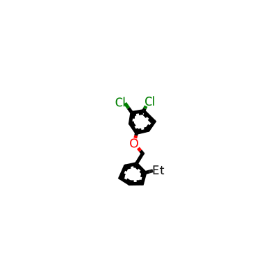 CCc1ccccc1COc1ccc(Cl)c(Cl)c1